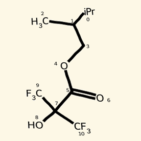 CC(C)C(C)COC(=O)C(O)(C(F)(F)F)C(F)(F)F